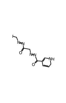 O=C(CN=NC(=O)C1=CNCC=C1)N=NCI